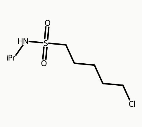 CC(C)NS(=O)(=O)CCCCCCl